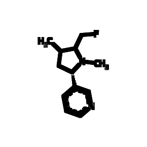 CC1C[C@@H](c2cccnc2)N(C)C1CF